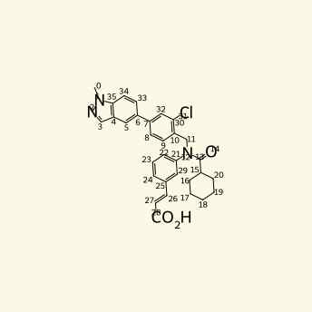 Cn1ncc2cc(-c3ccc(CN(C(=O)C4CCCCC4)c4cccc(C=CC(=O)O)c4)c(Cl)c3)ccc21